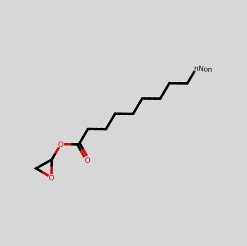 CCCCCCCCCCCCCCCCCC(=O)OC1CO1